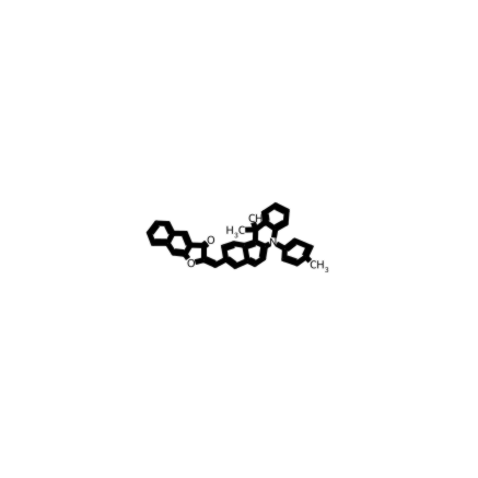 Cc1ccc(N2c3ccccc3C(C)(C)c3c2ccc2cc(/C=C4/Oc5cc6ccccc6cc5C4=O)ccc32)cc1